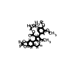 CCOC(=O)c1c(-c2cc(OC)c(OC)c(OC)c2)c(C)n2c1-c1cc3c(cc1CC2)OC(F)(F)O3